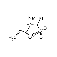 C=CC(=O)NC(CC)S(=O)(=O)[O-].[Na+]